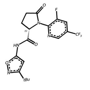 CC(C)(C)c1cc(NC(=O)[C@@H]2CCC(=O)N2c2ncc(C(F)(F)F)cc2F)on1